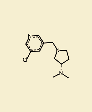 CN(C)[C@H]1CCN(Cc2cncc(Cl)c2)C1